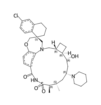 C[C@@H]1[C@@H](C)C[C@@H](N2CCCCC2)C[C@@H](O)[C@@H]2CC[C@H]2CN2C[C@@]3(CCCc4cc(Cl)ccc43)COc3ccc(cc32)C(=O)NS1(=O)=O